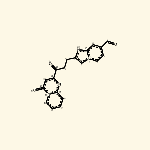 O=Cc1ccn2cc(CCC(=O)c3cc(=O)n4ccccc4n3)nc2c1